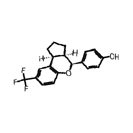 Oc1ccc([C@H]2Oc3ccc(C(F)(F)F)cc3[C@H]3CCC[C@H]32)cc1